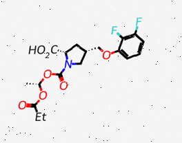 CCC(=O)O[C@H](C)OC(=O)N1C[C@@H](COc2cccc(F)c2F)C[C@H]1C(=O)O